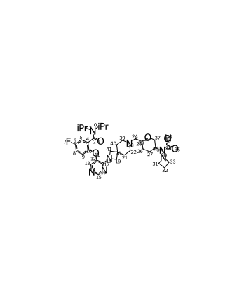 CC(C)N(C(=O)c1cc(F)ccc1Oc1cncnc1N1CC2(CCN(C[C@@H]3CC[C@@H](N(N4CCC4)[SH](=O)=O)CO3)CC2)C1)C(C)C